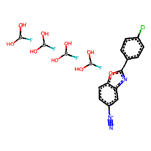 N#[N+]c1ccc2oc(-c3ccc(Cl)cc3)nc2c1.OB(O)F.OB(O)F.OB(O)F.OB(O)F